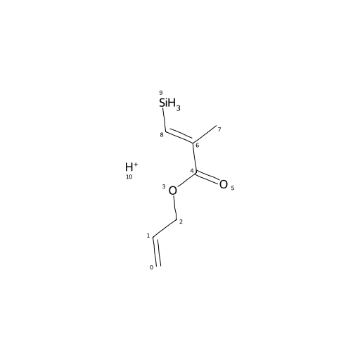 C=CCOC(=O)C(C)=C[SiH3].[H+]